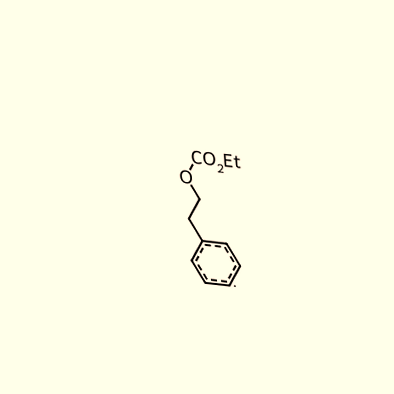 CCOC(=O)OCCc1cc[c]cc1